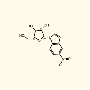 O=[N+]([O-])c1ccc2c(ccn2[C@@H]2O[C@H](CO)C(O)[C@@H]2O)c1